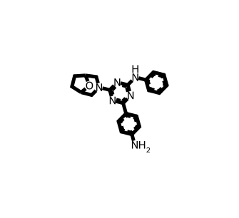 Nc1ccc(-c2nc(Nc3ccccc3)nc(N3CC4CCC(C3)O4)n2)cc1